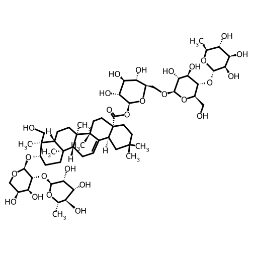 C[C@@H]1O[C@@H](O[C@H]2[C@H](O[C@H]3CC[C@@]4(C)[C@@H](CC[C@]5(C)[C@@H]4CC=C4[C@@H]6CC(C)(C)CC[C@]6(C(=O)O[C@@H]6O[C@H](CO[C@@H]7O[C@H](CO)[C@@H](O[C@@H]8O[C@@H](C)[C@H](O)[C@@H](O)[C@H]8O)[C@H](O)[C@H]7O)[C@@H](O)[C@H](O)[C@H]6O)CC[C@]45C)[C@]3(C)CO)OC[C@H](O)[C@@H]2O)[C@H](O)[C@H](O)[C@H]1O